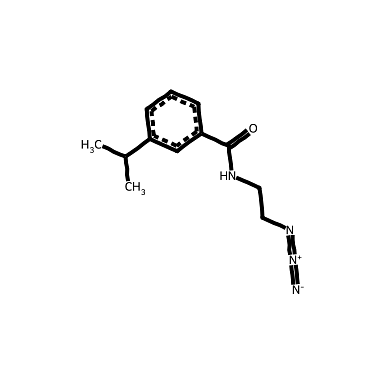 CC(C)c1cccc(C(=O)NCCN=[N+]=[N-])c1